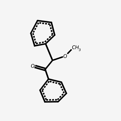 COC(C(=O)c1ccccc1)c1ccccc1